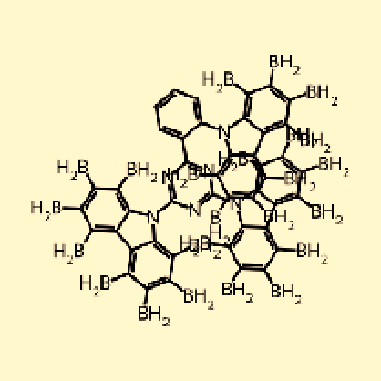 Bc1c(B)c(B)c2c(c1B)c1c(B)c(B)c(B)c(B)c1n2-c1nc(-c2ccccc2-n2c3c(B)c(B)c(B)c(B)c3c3c(B)c(B)c(B)c(B)c32)nc(-n2c3c(B)c(B)c(B)c(B)c3c3c(B)c(B)c(B)c(B)c32)n1